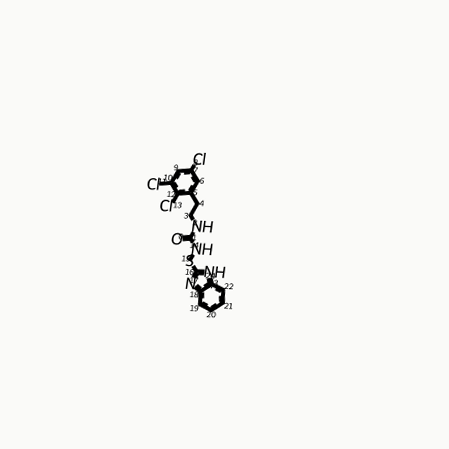 O=C(NCCc1cc(Cl)cc(Cl)c1Cl)NSc1nc2ccccc2[nH]1